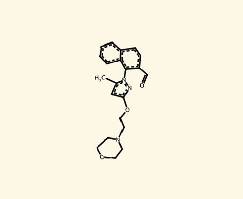 Cc1cc(OCCN2CCOCC2)nn1-c1c(C=O)ccc2ccccc12